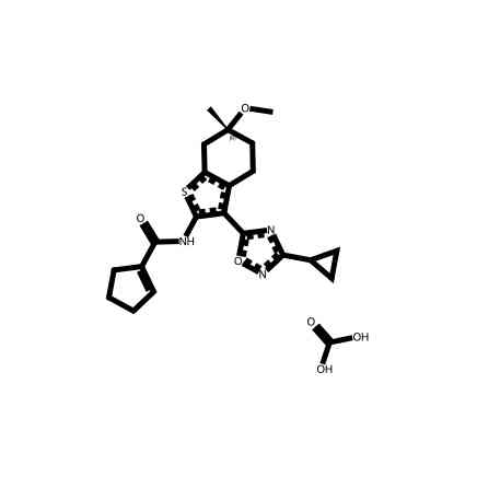 CO[C@]1(C)CCc2c(sc(NC(=O)C3=CCCC3)c2-c2nc(C3CC3)no2)C1.O=C(O)O